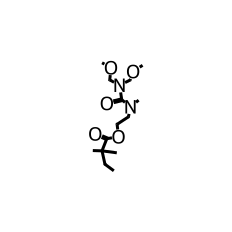 CCC(C)(C)C(=O)OCCN(C)C(=O)N(COC)COC